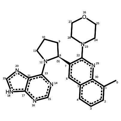 Cc1cccc2cc([C@@H]3CCCN3c3ncnc4[nH]cnc34)c(N3CCOCC3)nc12